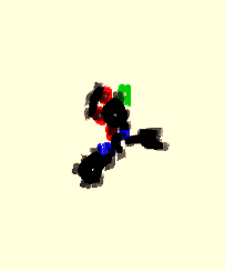 CC(C)CN(Cc1cc(Cl)c2c(c1)OCCCO2)C(=O)[C@@H](C)NCc1ccccc1